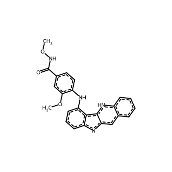 CONC(=O)c1ccc(Nc2cccc3nc4cc5ccccc5[nH]c-4c23)c(OC)c1